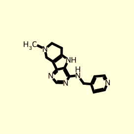 CN1CCc2[nH]c3c(NCc4ccncc4)ncnc3c2C1